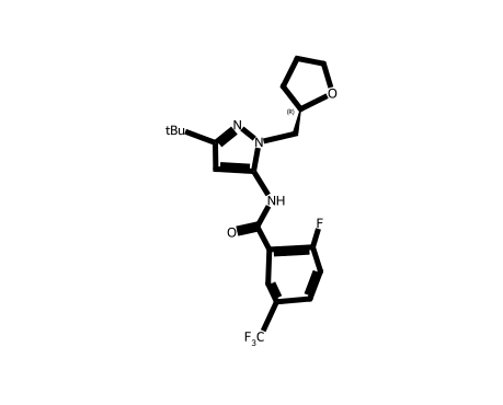 CC(C)(C)c1cc(NC(=O)c2cc(C(F)(F)F)ccc2F)n(C[C@H]2CCCO2)n1